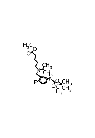 COC(=O)CCCCN(Cc1cc(NC(=O)OC(C)(C)C)ccc1F)C(C)C